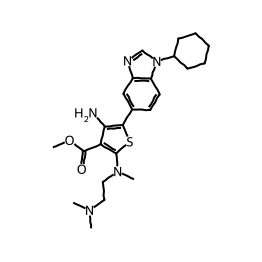 COC(=O)c1c(N(C)CCN(C)C)sc(-c2ccc3c(c2)ncn3C2CCCCC2)c1N